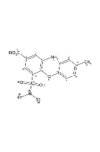 CCOC(=O)c1cc(N)c(Oc2ccc(C)cc2)c(S(=O)(=O)N(CC)CC)c1